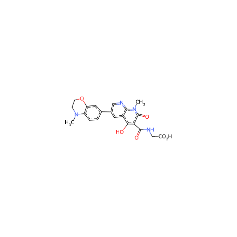 CN1CCOc2cc(-c3cnc4c(c3)c(O)c(C(=O)NCC(=O)O)c(=O)n4C)ccc21